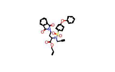 C#CCN(C(CCN1C(=O)c2ccccc2C1=O)C(=O)OCC=C)S(=O)(=O)c1ccc(Oc2ccccc2)cc1